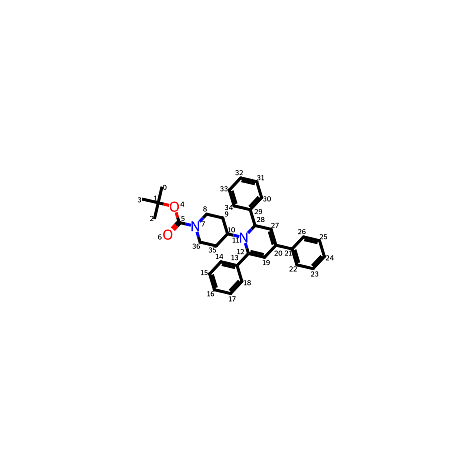 CC(C)(C)OC(=O)N1CCC(N2C(c3ccccc3)=CC(c3ccccc3)=CC2c2ccccc2)CC1